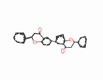 O=C1CC(c2ccccc2)Oc2ccc(-c3ccc4c(c3)C(=O)CC(c3ccccc3)O4)cc21